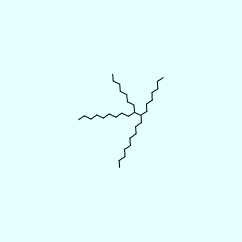 CCCCCCCCCC(CCCCCCC)C(CCCCCCC)CCCCCCCCC